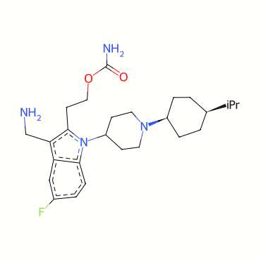 CC(C)[C@H]1CC[C@@H](N2CCC(n3c(CCOC(N)=O)c(CN)c4cc(F)ccc43)CC2)CC1